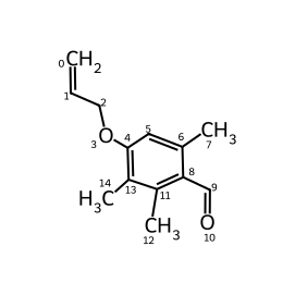 C=CCOc1cc(C)c(C=O)c(C)c1C